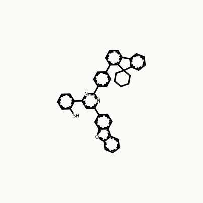 Sc1ccccc1-c1cc(-c2ccc3c(c2)oc2ccccc23)nc(-c2ccc(-c3cccc4c3C3(CCCCC3)c3ccccc3-4)cc2)n1